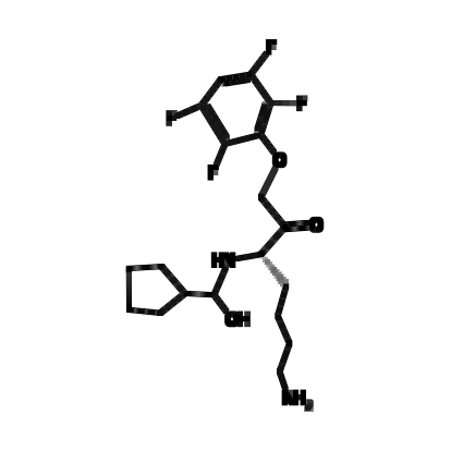 NCCCC[C@H](NC(O)C1CCCC1)C(=O)COc1c(F)c(F)cc(F)c1F